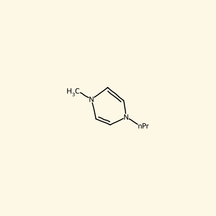 [CH2]CCN1C=CN(C)C=C1